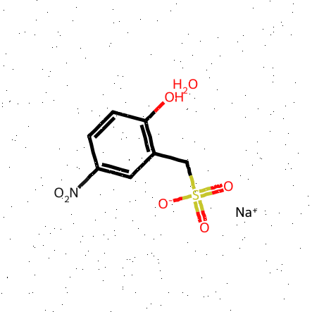 O.O=[N+]([O-])c1ccc(O)c(CS(=O)(=O)[O-])c1.[Na+]